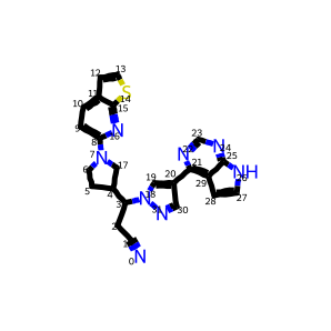 N#CCC(C1CCN(c2ccc3ccsc3n2)C1)n1cc(-c2ncnc3[nH]ccc23)cn1